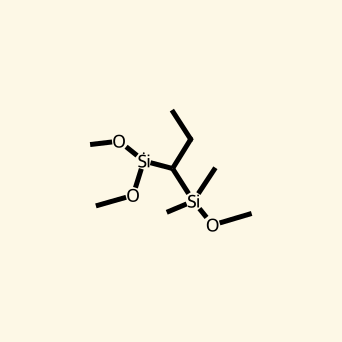 CCC([Si](OC)OC)[Si](C)(C)OC